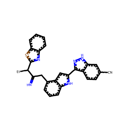 CCC(C(=N)Cc1cccc2[nH]c(-c3n[nH]c4cc(C#N)ccc34)cc12)c1nc2ccccc2s1